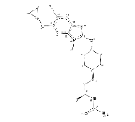 C[C@@H](CO[C@H]1CC[C@H](Oc2nc3cc(F)c(OC4CC4)cc3n2C)CC1)NC(N)=O